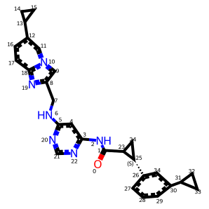 O=C(Nc1cc(NCc2cn3cc(C4CC4)ccc3n2)ncn1)C1C[C@@H]1c1cccc(C2CC2)c1